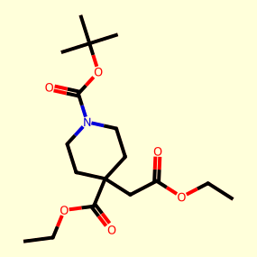 CCOC(=O)CC1(C(=O)OCC)CCN(C(=O)OC(C)(C)C)CC1